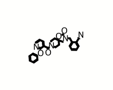 N#Cc1ccccc1CN1CC2(CCN(C(=O)c3cccnc3Oc3ccccc3)CC2)OC1=O